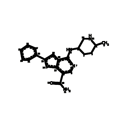 CC1CCC(Nc2ncc(C(N)=O)c3sc(-c4ccccc4)cc23)CN1